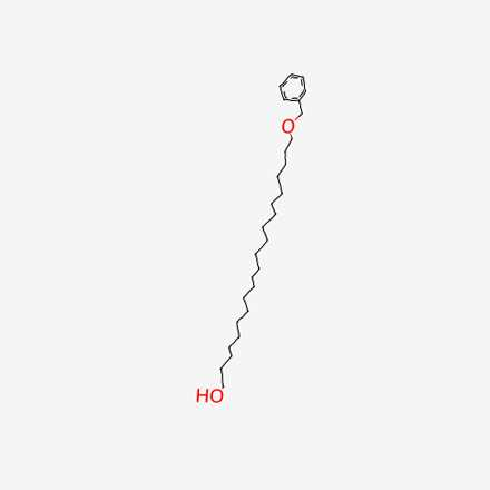 OCCCCCCCCCCCCCCCCCCCCCOCc1ccccc1